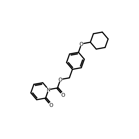 O=C(OCc1ccc(OC2CCCCC2)cc1)n1ccccc1=O